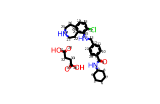 O=C(NC1CCCCC1)c1ccc(CNc2c(Cl)ccc3c2CCNCC3)cc1.O=C(O)CCC(=O)O